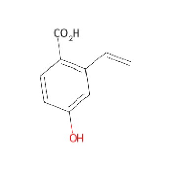 C=Cc1cc(O)ccc1C(=O)O